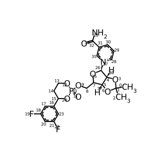 CC1(C)O[C@@H]2[C@H](O1)C(COP1(=O)OCCC(c3cc(F)cc(F)c3)O1)O[C@H]2[n+]1cccc(C(N)=O)c1